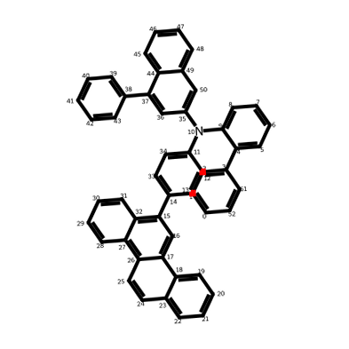 c1ccc(-c2ccccc2N(c2ccc(-c3cc4c5ccccc5ccc4c4ccccc34)cc2)c2cc(-c3ccccc3)c3ccccc3c2)cc1